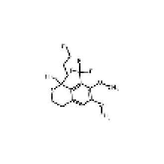 COc1cc2c(c(C(F)(F)F)c1OC)C(C)(CCCCl)SCC2